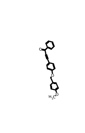 COc1ccc(COc2ccc(C#CC(=O)c3ccccc3)cc2)cc1